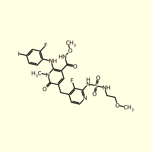 COCCNS(=O)(=O)Nc1nccc(Cc2cc(C(=O)NOC)c(Nc3ccc(I)cc3F)n(C)c2=O)c1F